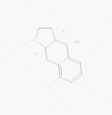 Br.Oc1cccc2c1C[C@H]1NCC[C@H]1C2